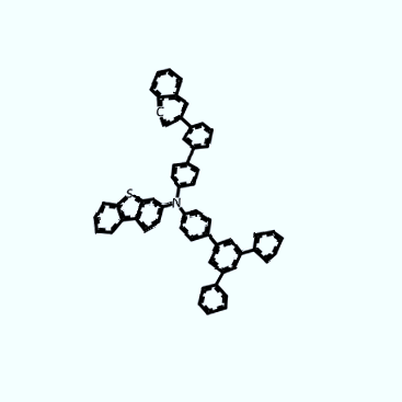 c1ccc(-c2cc(-c3ccccc3)cc(-c3ccc(N(c4ccc(-c5cccc(-c6ccc7ccccc7c6)c5)cc4)c4ccc5c(c4)sc4ccccc45)cc3)c2)cc1